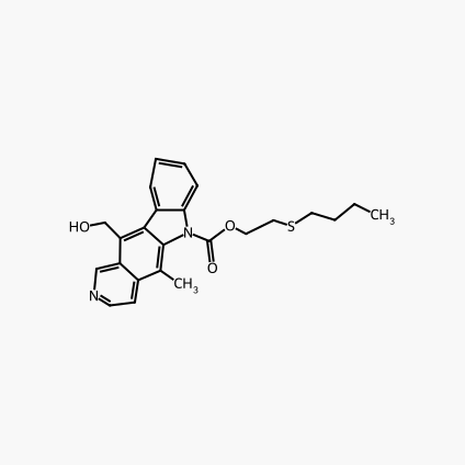 CCCCSCCOC(=O)n1c2ccccc2c2c(CO)c3cnccc3c(C)c21